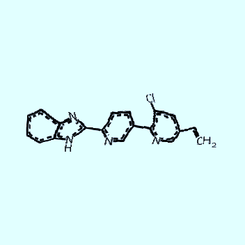 C=Cc1cnc(-c2ccc(-c3nc4ccccc4[nH]3)nc2)c(Cl)c1